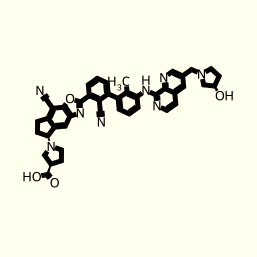 Cc1c(Nc2nccc3cc(CN4CC[C@@H](O)C4)cnc23)cccc1-c1cccc(-c2nc3cc4c(c(C#N)c3o2)CC[C@H]4N2CC[C@@H](C(=O)O)C2)c1C#N